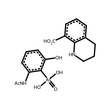 CC(=O)Nc1cccc(O)c1[As](=O)(O)O.O=C(O)c1cccc2c1NCCC2